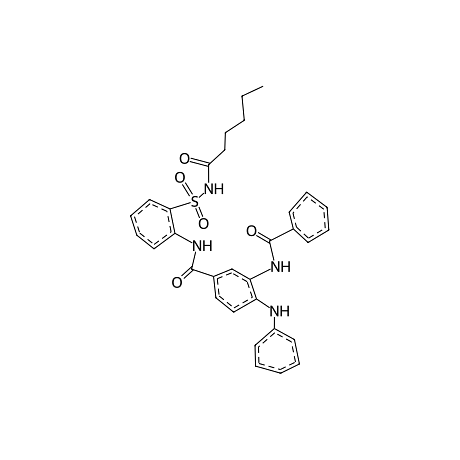 CCCCCC(=O)NS(=O)(=O)c1ccccc1NC(=O)c1ccc(Nc2ccccc2)c(NC(=O)c2ccccc2)c1